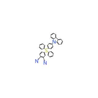 N#Cc1ccc(S(c2ccccc2)(c2ccccc2)c2ccc(-n3c4ccccc4c4ccccc43)cc2)cc1C#N